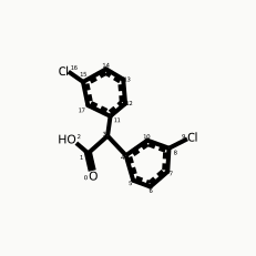 O=C(O)C(c1cccc(Cl)c1)c1cccc(Cl)c1